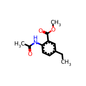 CCc1ccc(NC(C)=O)c(C(=O)OC)c1